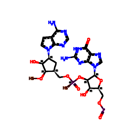 Nc1nc2c(ncn2[C@@H]2O[C@H](COP=O)[C@@H](O)[C@H]2O[P@@](=O)(S)OC[C@H]2C[C@@H](n3ccc4c(N)ncnc43)[C@H](O)[C@@H]2OS)c(=O)[nH]1